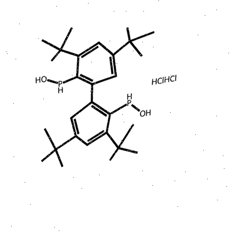 CC(C)(C)c1cc(-c2cc(C(C)(C)C)cc(C(C)(C)C)c2PO)c(PO)c(C(C)(C)C)c1.Cl.Cl